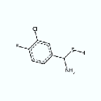 NC(SI)c1ccc(F)c(Cl)c1